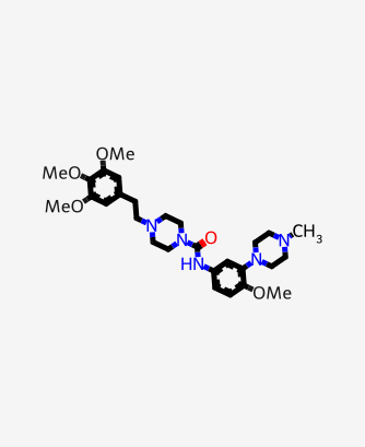 COc1ccc(NC(=O)N2CCN(CCc3cc(OC)c(OC)c(OC)c3)CC2)cc1N1CCN(C)CC1